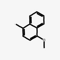 [CH2]c1ccc(OC)c2ccccc12